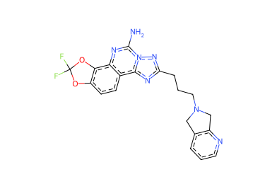 Nc1nc2c3c(ccc2c2nc(CCCN4Cc5cccnc5C4)nn12)OC(F)(F)O3